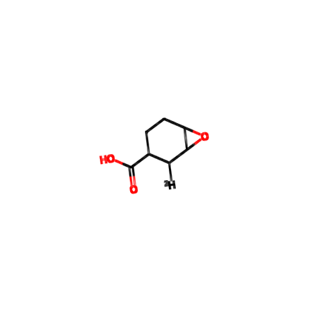 [2H]C1C(C(=O)O)CCC2OC21